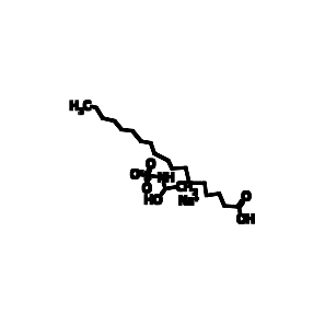 CC(O)NS(=O)(=O)[O-].CCCCCCCCCCCCCCCCCC(=O)O.[Na+]